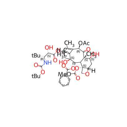 COC(=O)O[C@@]12CO[C@@H]1C[C@H](O)[C@@]1(C)C(=O)[C@H](OC(C)=O)C3=C(C)[C@@H](OC(=O)[C@@H](O)[C@H](NC(=O)OC(C)(C)C)C(C)(C)C)C[C@@](O)([C@@H](OC(=O)c4ccccc4)C12)C3(C)C